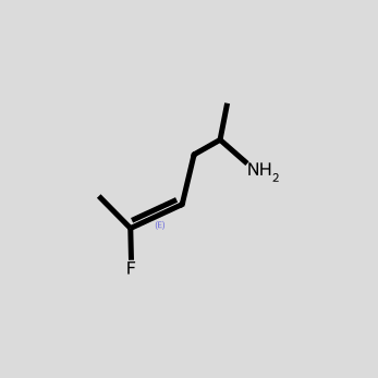 C/C(F)=C\CC(C)N